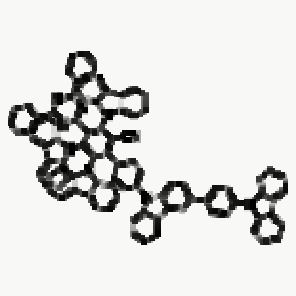 N#Cc1c(-c2ccc(-n3c4ccccc4c4cc(-c5ccc(-n6c7ccccc7c7ccccc76)cc5)ccc43)cc2)c(-n2c3ccccc3c3ccccc32)c(-n2c3ccccc3c3ccccc32)c(-c2nc(-c3ccccc3)nc(-c3ccccc3)n2)c1-n1c2ccccc2c2ccccc21